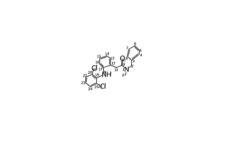 CN(Cc1ccccc1)C(=O)Cc1ccccc1Nc1c(Cl)cccc1Cl